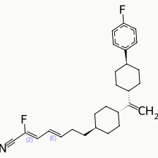 C=C([C@H]1CC[C@H](CC/C=C/C=C(\F)C#N)CC1)[C@H]1CC[C@H](c2ccc(F)cc2)CC1